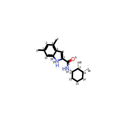 Cc1cc(C)c2cc(C(=O)N[C@H]3CCC[C@@H](C)[C@H]3C)[nH]c2c1